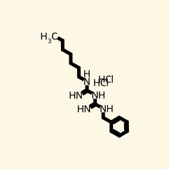 CCCCCCCNC(=N)NC(=N)NCc1ccccc1.Cl.Cl